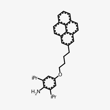 CC(C)c1cc(OCCCCc2cc3ccc4cccc5ccc(c2)c3c45)cc(C(C)C)c1N